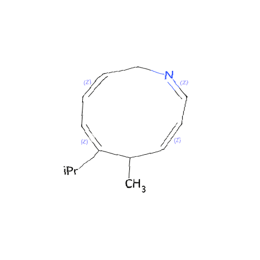 CC(C)/C1=C/C=C\C/N=C\C=C/C1C